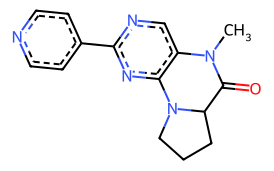 CN1C(=O)C2CCCN2c2nc(-c3ccncc3)ncc21